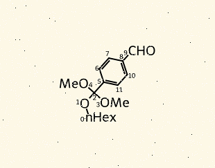 CCCCCCOC(OC)(OC)c1ccc(C=O)cc1